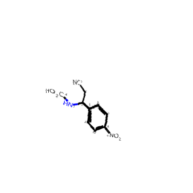 N#CCC(NC(=O)O)c1ccc([N+](=O)[O-])cc1